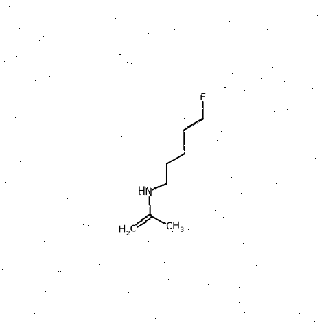 C=C(C)NCCCCCF